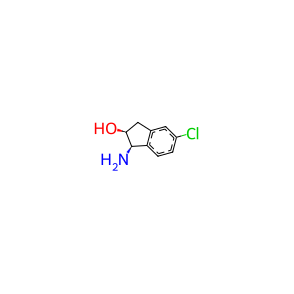 N[C@@H]1c2ccc(Cl)cc2C[C@@H]1O